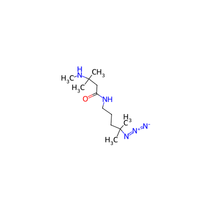 CNC(C)(C)CC(=O)NCCCC(C)(C)N=[N+]=[N-]